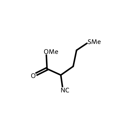 [C-]#[N+]C(CCSC)C(=O)OC